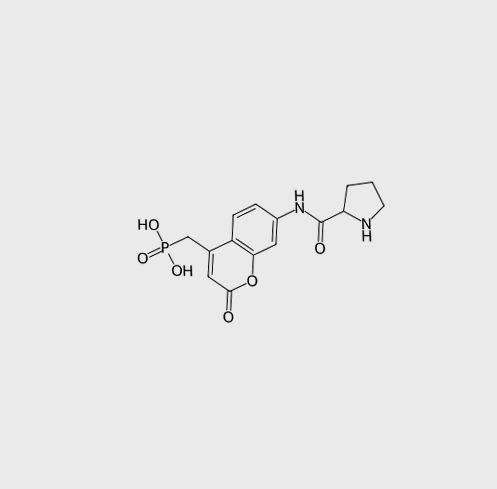 O=C(Nc1ccc2c(CP(=O)(O)O)cc(=O)oc2c1)C1CCCN1